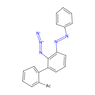 CC(=O)c1ccccc1-c1cccc(N=Nc2ccccc2)c1N=[N+]=[N-]